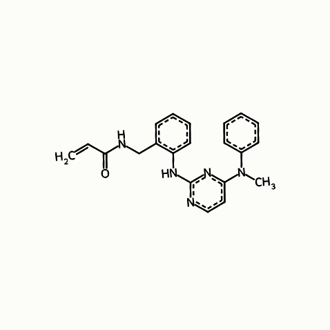 C=CC(=O)NCc1ccccc1Nc1nccc(N(C)c2ccccc2)n1